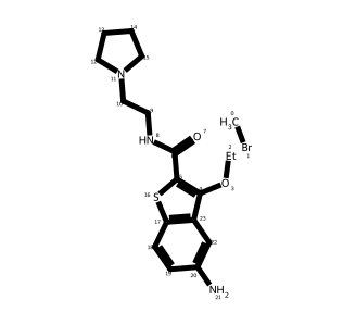 CBr.CCOc1c(C(=O)NCCN2CCCC2)sc2ccc(N)cc12